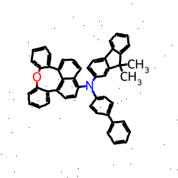 CC1(C)c2ccccc2-c2ccc(N(c3ccc(-c4ccccc4)cc3)c3ccc4c5c(cccc35)-c3ccccc3Oc3ccccc3-4)cc21